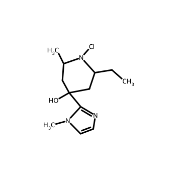 CCC1CC(O)(c2nccn2C)CC(C)N1Cl